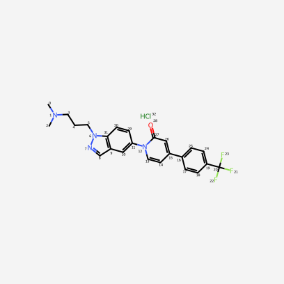 CN(C)CCCn1ncc2cc(-n3ccc(-c4ccc(C(F)(F)F)cc4)cc3=O)ccc21.Cl